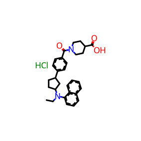 CCN(c1cccc2ccccc12)C1CCC(c2ccc(C(=O)N3CCC(C(=O)O)CC3)cc2)C1.Cl